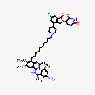 COc1cc2c(N[C@@H](C)c3cc(N)cc(C(F)(F)F)c3)nc(C)nc2c(CCCCCCCCCCN2CCC(c3cc(F)cc4c3CN(C3CCC(=O)NC3=O)C4=O)CC2)c1OC